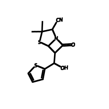 CC1(C)SC2C(C(O)c3cccs3)C(=O)N2C1C#N